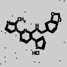 Cc1nccn1-c1ncc(-c2cccs2)c(NCc2ccc3c(c2)OCO3)n1.Cl